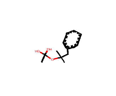 CC(O)(O)OC(C)(C)Cc1ccccc1